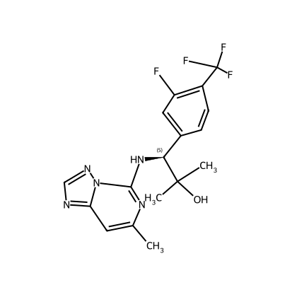 Cc1cc2ncnn2c(N[C@@H](c2ccc(C(F)(F)F)c(F)c2)C(C)(C)O)n1